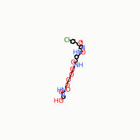 COc1cnc(C(=O)NCc2cccc(CC(=O)NCCOCCOCCOCCOCC(=O)NCC(=O)N3CC[C@@H](O)C3)c2)cc1/C=C/c1ccc(Cl)cc1